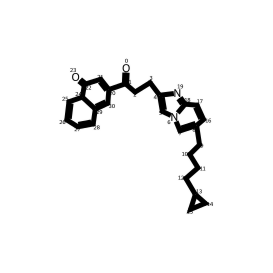 O=C(CCc1cn2cc(CCCCC3CC3)ccc2n1)C1=CC(=O)C2C=CC=CC2=C1